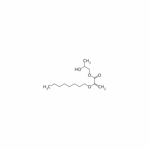 C=C(OCCCCCCCC)C(=O)OCC(C)O